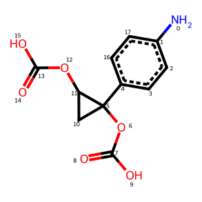 Nc1ccc(C2(OC(=O)O)CC2OC(=O)O)cc1